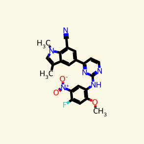 COc1cc(F)c([N+](=O)[O-])cc1Nc1nccc(-c2cc(C#N)c3c(c2)c(C)cn3C)n1